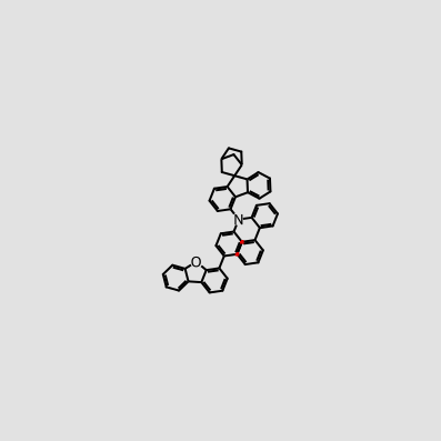 c1ccc(-c2ccccc2N(c2ccc(-c3cccc4c3oc3ccccc34)cc2)c2cccc3c2-c2ccccc2C32CC3CCC2C3)cc1